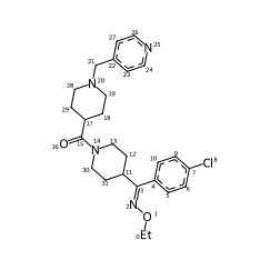 CCO/N=C(\c1ccc(Cl)cc1)C1CCN(C(=O)C2CCN(Cc3ccncc3)CC2)CC1